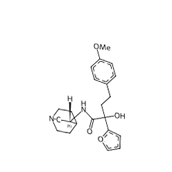 COc1ccc(CCC(O)(C(=O)N[C@H]2CN3CCC2CC3)c2ccco2)cc1